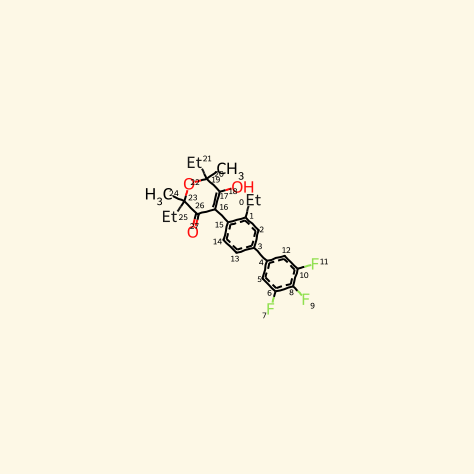 CCc1cc(-c2cc(F)c(F)c(F)c2)ccc1C1=C(O)C(C)(CC)OC(C)(CC)C1=O